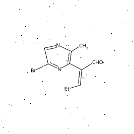 CC/C=C(/C=O)c1nc(Br)cnc1C